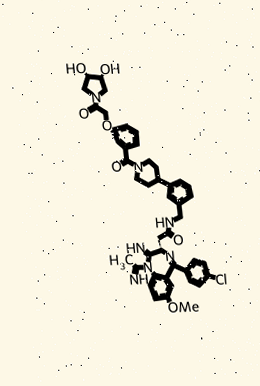 COc1ccc2c(c1)C(c1ccc(Cl)cc1)=N[C@@H](CC(=O)NCc1cccc(C3CCN(C(=O)c4cccc(OCC(=O)N5C[C@@H](O)[C@@H](O)C5)c4)CC3)c1)C(=N)N2C(C)=N